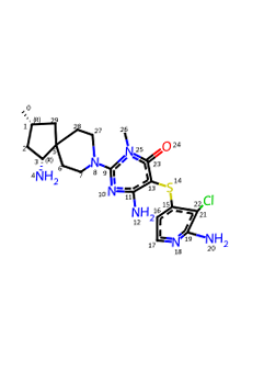 C[C@H]1C[C@@H](N)C2(CCN(c3nc(N)c(Sc4ccnc(N)c4Cl)c(=O)n3C)CC2)C1